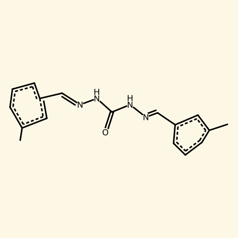 Cc1cccc(C=NNC(=O)NN=Cc2cccc(C)c2)c1